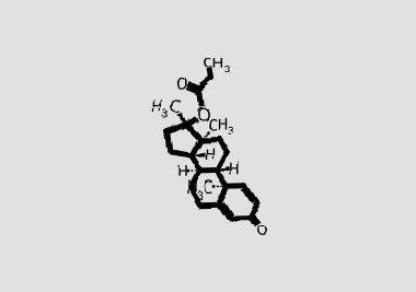 CCC(=O)O[C@@]1(C)CC[C@H]2[C@@H]3CCC4=CC(=O)C=C[C@]4(C)[C@H]3CC[C@@]21C